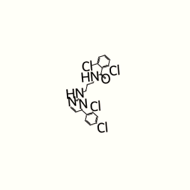 O=C(NCCCNc1nccc(-c2ccc(Cl)cc2Cl)n1)c1c(Cl)cccc1Cl